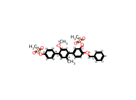 COc1cc(-c2ccc(OCc3ccccc3)c(OS(C)(=O)=O)c2)c(C)cc1-c1ccc(OS(C)(=O)=O)cc1